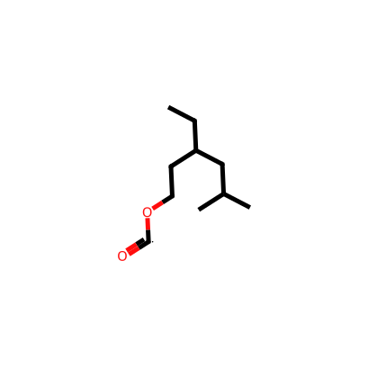 CCC(CCO[C]=O)CC(C)C